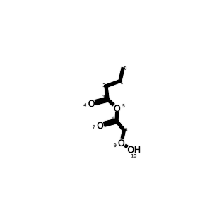 CCCC(=O)OC(=O)COO